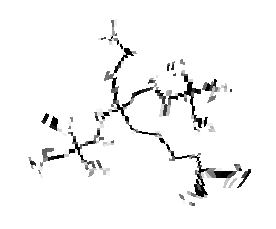 [CH2]CCC(CCCCC(=O)O)(OOC(C)(C)C)OOC(C)(C)C